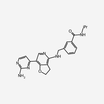 CC(C)NC(=O)c1cccc(CNc2ncc(-c3ccnc(N)n3)c3c2CCO3)c1